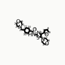 O=C(Nc1nc(-c2ccco2)c(N2CCOCC2)s1)c1ccc(CN2CCOCC2)cc1